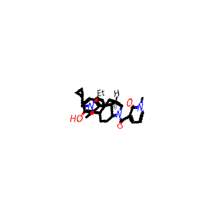 CCc1ccc(O)cc1C12CCN(CC3CC3)C(C)C13CCC1C2[C@@H](CN1C(=O)c1cccn(C)c1=O)C3